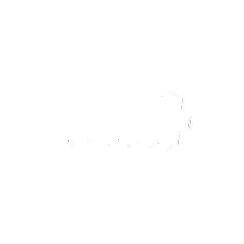 CC/C=C\C/C=C\C/C=C\CCCCCCCCOC(C)(C)C